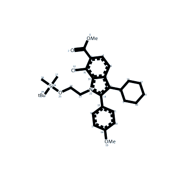 COC(=O)c1ccc2c(C3CCCCC3)c(-c3ccc(OC)cc3)n(CCO[Si](C)(C)C(C)(C)C)c2c1Cl